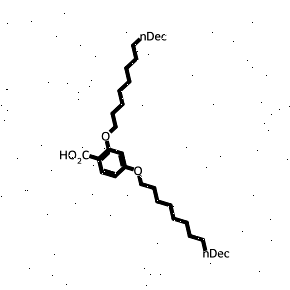 CCCCCCCCCCCCCCCCCCOc1ccc(C(=O)O)c(OCCCCCCCCCCCCCCCCCC)c1